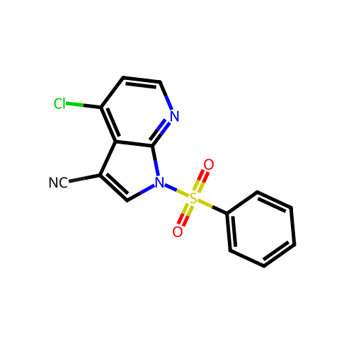 N#Cc1cn(S(=O)(=O)c2ccccc2)c2nccc(Cl)c12